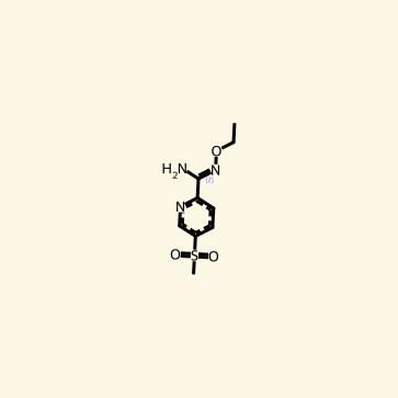 CCO/N=C(\N)c1ccc(S(C)(=O)=O)cn1